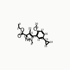 CCOC(=O)c1nn(C)c(-c2cc(C3CC3)ccc2OC)c1C